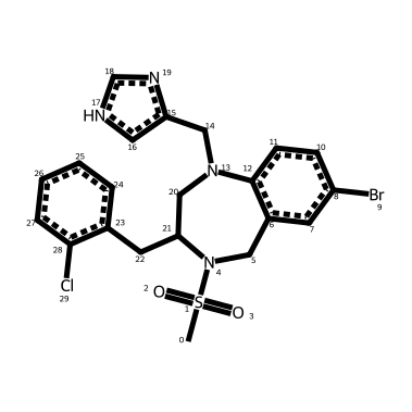 CS(=O)(=O)N1Cc2cc(Br)ccc2N(Cc2c[nH]cn2)CC1Cc1ccccc1Cl